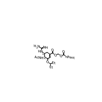 CCCCCC(=O)OCOC(=O)C1=C[C@@H](OC(CC)CC)[C@H](NC(C)=O)[C@@H](NC(=N)N)C1